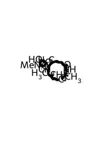 CN[C@H]1[C@H](O)C[C@H](O[C@H]2C/C=C(\C)C/C(C)=C/C=C/CC[C@H](C)CNC(=O)/C=C/C=C/[C@@H]2C)O[C@@H]1C